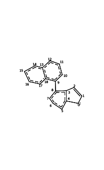 [C]1C=Cc2c1cccc2-c1cccc2ccccc12